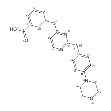 O=C(O)c1cccc(Sc2ccnc(Nc3ccc(N4CCOCC4)cc3)n2)c1